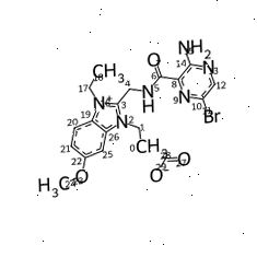 CCn1c(CNC(=O)c2nc(Br)cnc2N)[n+](CC)c2ccc(OC)cc21.O=C[O-]